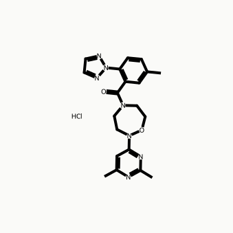 Cc1ccc(-n2nccn2)c(C(=O)N2CCON(c3cc(C)nc(C)n3)CC2)c1.Cl